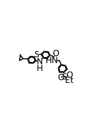 CCS(=O)(=O)c1ccc(CNC(=O)c2ccc3c(c2)Nc2ccc(C4CC4)cc2S3)cc1